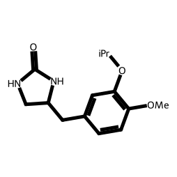 COc1ccc(CC2CNC(=O)N2)cc1OC(C)C